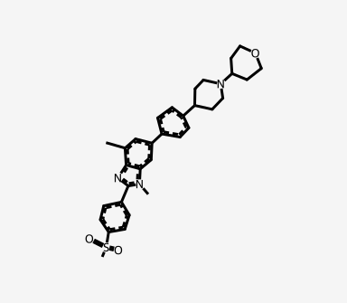 Cc1cc(-c2ccc(C3CCN(C4CCOCC4)CC3)cc2)cc2c1nc(-c1ccc(S(C)(=O)=O)cc1)n2C